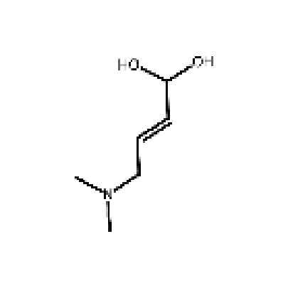 CN(C)C/C=C/C(O)O